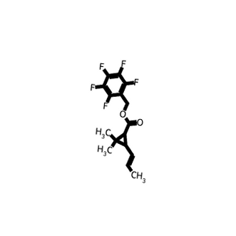 CC=CC1C(C(=O)OCc2c(F)c(F)c(F)c(F)c2F)C1(C)C